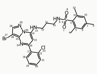 Cc1cc(C)c(S(=O)(=O)NCCCNc2cc(-c3ccccc3Cl)nc3c(Br)cnn23)c(C)c1